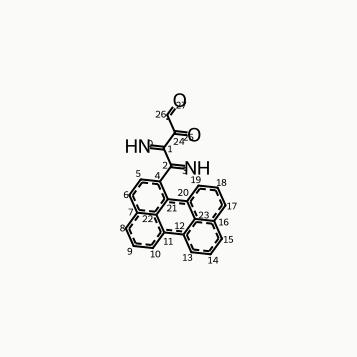 N=C(C(=N)c1ccc2cccc3c4cccc5cccc(c1c23)c54)C(=O)[C]=O